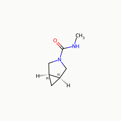 CNC(=O)N1C[C@H]2C[C@H]2C1